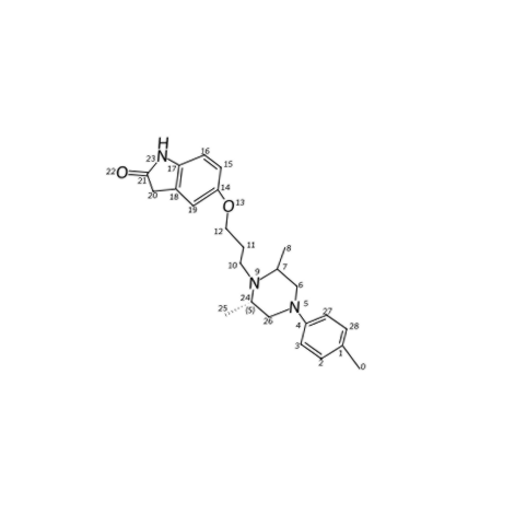 Cc1ccc(N2CC(C)N(CCCOc3ccc4c(c3)CC(=O)N4)[C@@H](C)C2)cc1